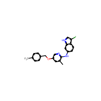 Cc1cc(OCc2ccc(C(F)(F)F)cc2)cnc1Nc1ccc2c(F)c[nH]c2c1